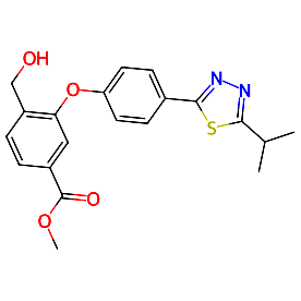 COC(=O)c1ccc(CO)c(Oc2ccc(-c3nnc(C(C)C)s3)cc2)c1